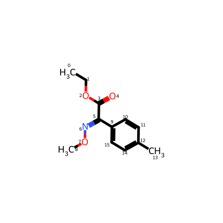 CCOC(=O)/C(=N/OC)c1ccc(C)cc1